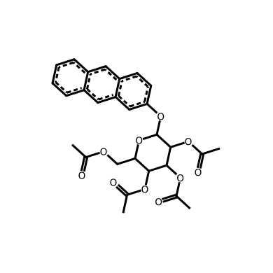 CC(=O)OCC1OC(Oc2ccc3cc4ccccc4cc3c2)C(OC(C)=O)C(OC(C)=O)C1OC(C)=O